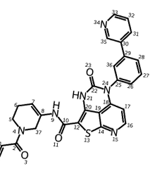 C=CC(=O)N1CCC=C(NC(=O)c2sc3nccc4c3c2NC(=O)N4c2cccc(-c3cccnc3)c2)C1